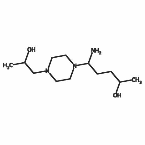 CC(O)CCC(N)N1CCN(CC(C)O)CC1